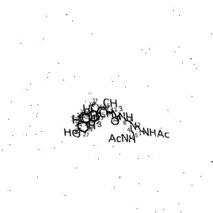 CC(=O)NCCN(CCNC(C)=O)CCNC(=O)CC[C@@H](C)[C@H]1CC[C@H]2[C@@H]3CC[C@@H]4C[C@H](O)CC[C@]4(C)[C@H]3CC[C@]12C